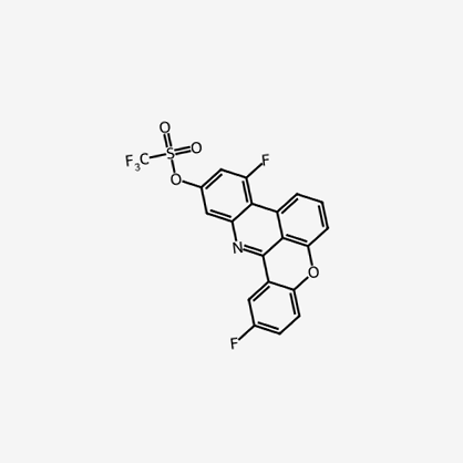 O=S(=O)(Oc1cc(F)c2c(c1)nc1c3c(cccc32)Oc2ccc(F)cc2-1)C(F)(F)F